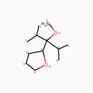 CC(C)C(O[SiH3])(C(C)C)C1CCCO1